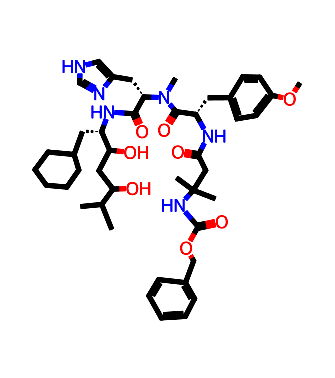 COc1ccc(C[C@H](NC(=O)CC(C)(C)NC(=O)OCc2ccccc2)C(=O)N(C)[C@@H](Cc2c[nH]cn2)C(=O)N[C@@H](CC2CCCCC2)C(O)CC(O)C(C)C)cc1